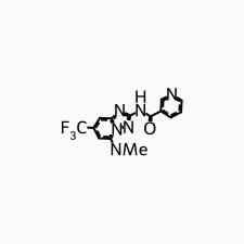 CNc1cc(C(F)(F)F)cc2nc(NC(=O)c3cccnc3)nn12